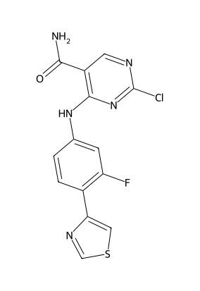 NC(=O)c1cnc(Cl)nc1Nc1ccc(-c2cscn2)c(F)c1